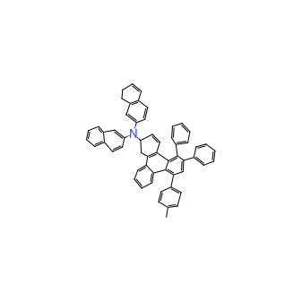 Cc1ccc(-c2cc(-c3ccccc3)c(-c3ccccc3)c3c4c(c5ccccc5c23)CC(N(c2ccc3c(c2)CCC=C3)c2ccc3ccccc3c2)C=C4)cc1